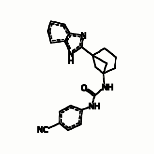 N#Cc1ccc(NC(=O)NC23CCCC(c4nc5ccccc5[nH]4)(C2)C3)cc1